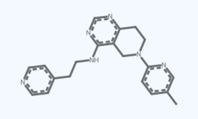 Cc1ccc(N2CCc3ncnc(NCCc4ccncc4)c3C2)nc1